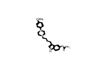 COc1ccc(N2CCN(CCCCc3c[nH]c4ccc(OC(N)=O)cc34)CC2)cc1